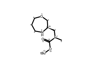 CN(C[C@@H]1COCCCN1)C(=O)OC(C)(C)C